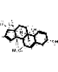 CO[C@H]1C=C2C[C@@H](O)C=C[C@]2(C)[C@H]2CC[C@]3(C)[C@@H](O)C=C[C@H]3[C@H]12